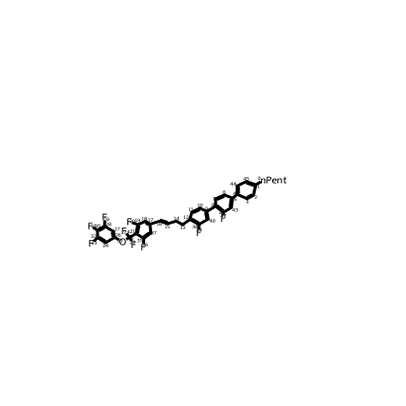 CCCCCc1ccc(-c2ccc(-c3ccc(CC/C=C/c4cc(F)c(C(F)(F)Oc5cc(F)c(F)c(F)c5)c(F)c4)c(F)c3)c(F)c2)cc1